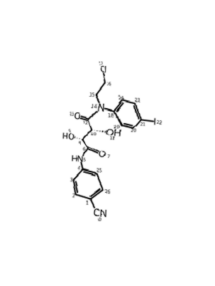 N#Cc1ccc(NC(=O)[C@H](O)[C@@H](O)C(=O)N(CCCl)c2ccc(I)cc2)cc1